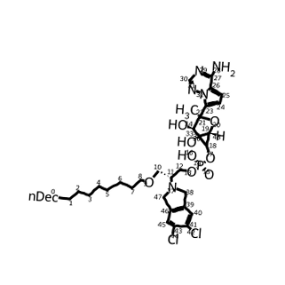 CCCCCCCCCCCCCCCCCCOC[C@H](COP(=O)(O)OC1[C@H]2O[C@@](C)(c3ccc4c(N)ncnn34)[C@H](O)[C@@]12O)N1Cc2cc(Cl)c(Cl)cc2C1